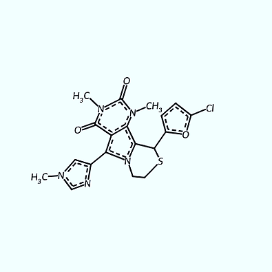 Cn1cnc(-c2c3c(=O)n(C)c(=O)n(C)c3c3n2CCSC3c2ccc(Cl)o2)c1